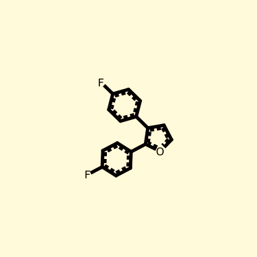 Fc1ccc(-c2ccoc2-c2ccc(F)cc2)cc1